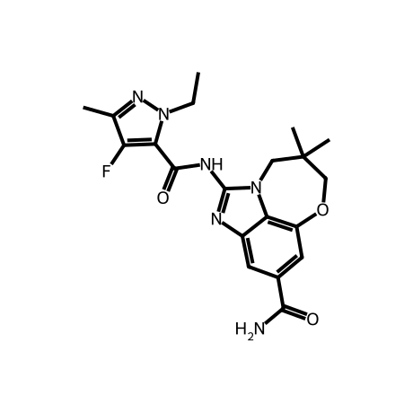 CCn1nc(C)c(F)c1C(=O)Nc1nc2cc(C(N)=O)cc3c2n1CC(C)(C)CO3